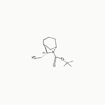 CC(C)(C)OC(=O)N1C2CCCC(C2)[C@H]1CO